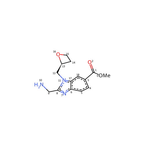 COC(=O)c1ccc2nc(CN)n(C[C@@H]3CCO3)c2c1